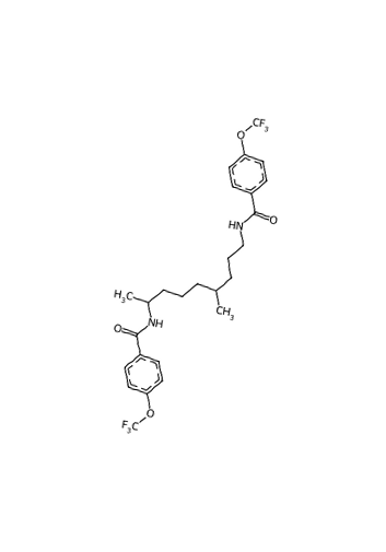 CC(CCCNC(=O)c1ccc(OC(F)(F)F)cc1)CCCC(C)NC(=O)c1ccc(OC(F)(F)F)cc1